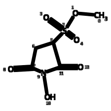 COS(=O)(=O)C1CC(=O)N(O)C1=O